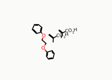 C=C(C)C(=O)O.C=C(C)C(=O)O.c1ccc(OCCOc2ccccc2)cc1